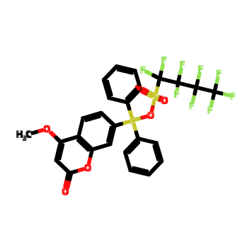 COc1cc(=O)oc2cc(S(OS(=O)(=O)C(F)(F)C(F)(F)C(F)(F)C(F)(F)F)(c3ccccc3)c3ccccc3)ccc12